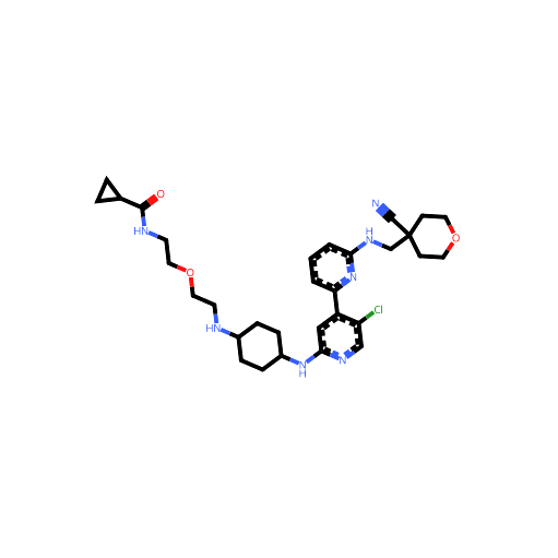 N#CC1(CNc2cccc(-c3cc(NC4CCC(NCCOCCNC(=O)C5CC5)CC4)ncc3Cl)n2)CCOCC1